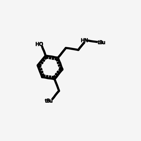 CC(C)(C)Cc1ccc(O)c(CCNC(C)(C)C)c1